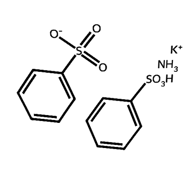 N.O=S(=O)(O)c1ccccc1.O=S(=O)([O-])c1ccccc1.[K+]